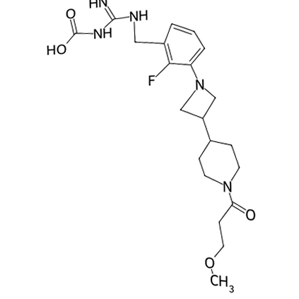 COCCC(=O)N1CCC(C2CN(c3cccc(CNC(=N)NC(=O)O)c3F)C2)CC1